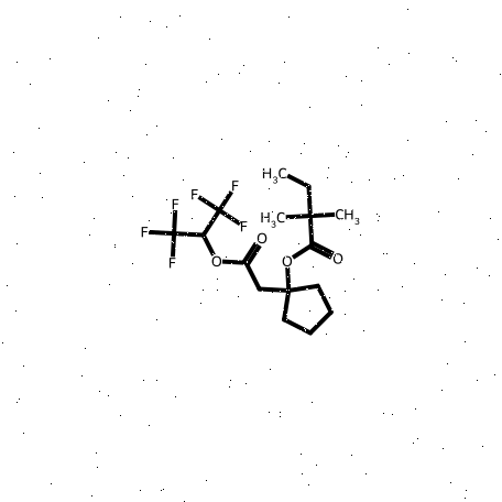 CCC(C)(C)C(=O)OC1(CC(=O)OC(C(F)(F)F)C(F)(F)F)CCCC1